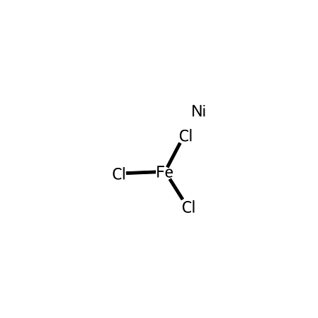 [Cl][Fe]([Cl])[Cl].[Ni]